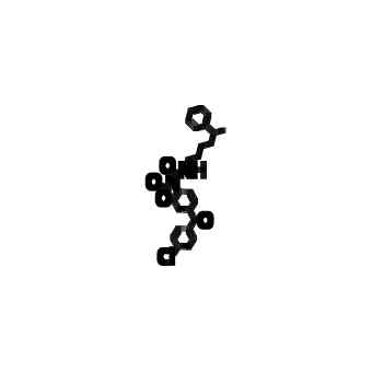 CC(CCCCNC(=O)n1c(=O)oc2cc(C(=O)c3ccc(Cl)cc3)ccc21)c1ccccc1